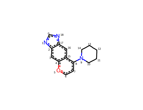 c1nc2cc3occc(N4CCCCC4)c3cc2n1